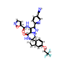 N#Cc1ccc(-c2nn3c(c2NC(=O)c2ccno2)C(=O)N[C@@]2(CCc4cc(OCC(F)(F)F)ccc42)C3)nc1